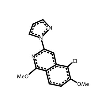 COc1ccc2c(OC)nc(-n3cccn3)cc2c1Cl